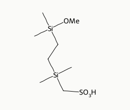 CO[Si](C)(C)CC[Si](C)(C)CS(=O)(=O)O